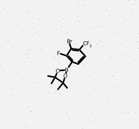 CC1(C)OB(c2ccc(C(F)(F)F)c(Br)c2F)OC1(C)C